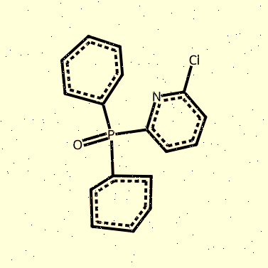 O=P(c1ccccc1)(c1ccccc1)c1cccc(Cl)n1